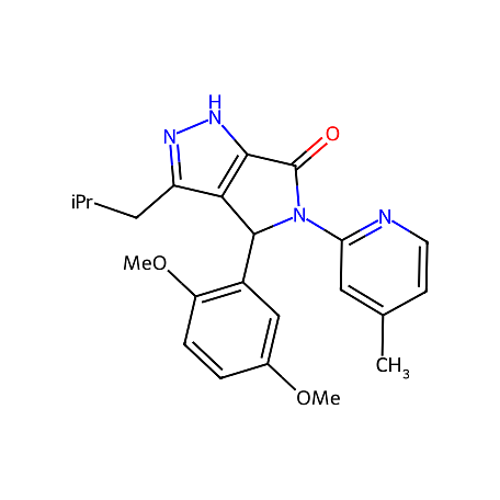 COc1ccc(OC)c(C2c3c(CC(C)C)n[nH]c3C(=O)N2c2cc(C)ccn2)c1